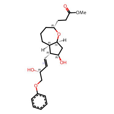 COC(=O)CC[C@H]1CCC[C@@H]2[C@@H](/C=C/[C@@H](O)COc3ccccc3)[C@H](O)C[C@@H]2O1